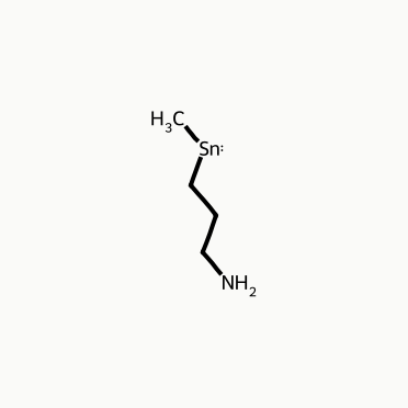 [CH3][Sn][CH2]CCN